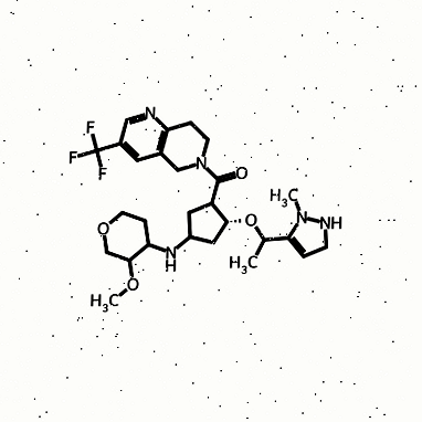 COC1COCCC1NC1CC(C(=O)N2CCc3ncc(C(F)(F)F)cc3C2)[C@H](OC(C)C2=CCNN2C)C1